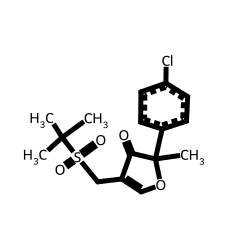 CC1(c2ccc(Cl)cc2)OC=C(CS(=O)(=O)C(C)(C)C)C1=O